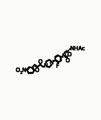 CC(=O)NC[C@H]1CN(c2ccc(N3CCN(CC(=O)c4cc5cc([N+](=O)[O-])ccc5o4)CC3)c(F)c2)C(=O)O1